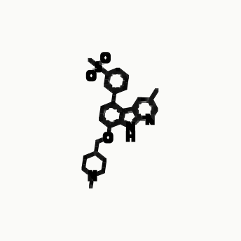 Cc1cnc2[nH]c3c(OCC4CCN(C)CC4)ccc(-c4cccc(S(C)(=O)=O)c4)c3c2c1